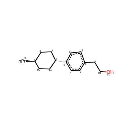 CCC[C@H]1CC[C@H](c2ccc(CCO)cc2)CC1